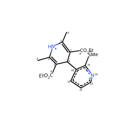 CCOC(=O)C1=C(C)NC(C)=C(C(=O)OCC)C1c1cccnc1SC